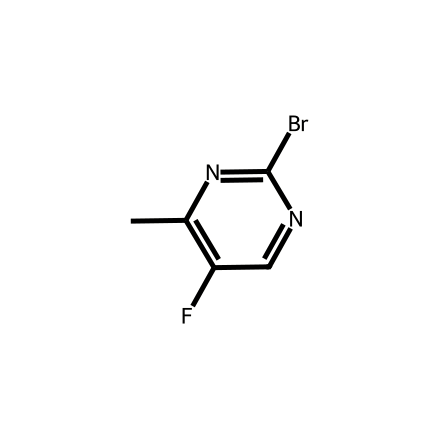 Cc1nc(Br)ncc1F